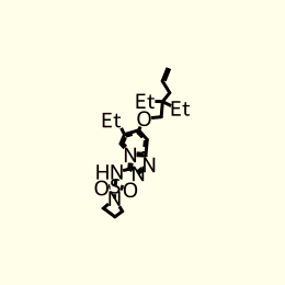 C=CCC(CC)(CC)COc1cc2nnc(NS(=O)(=O)N3CCC3)n2cc1CC